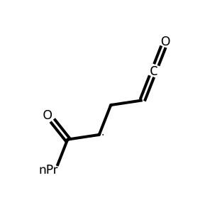 CCCC(=O)[CH]CC=C=O